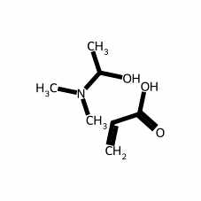 C=CC(=O)O.CC(O)N(C)C